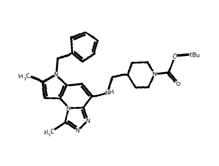 Cc1cc2c(cc(NCC3CCN(C(=O)OC(C)(C)C)CC3)c3nnc(C)n32)n1Cc1ccccc1